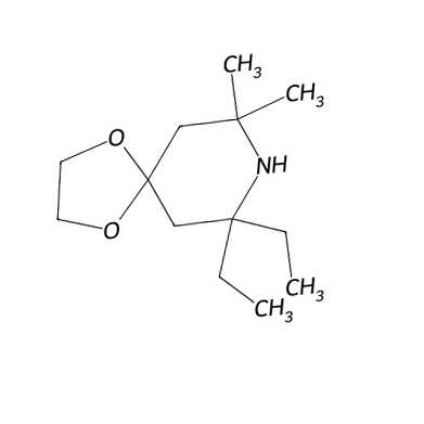 CCC1(CC)CC2(CC(C)(C)N1)OCCO2